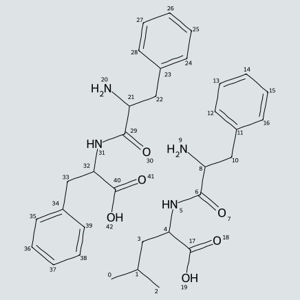 CC(C)CC(NC(=O)C(N)Cc1ccccc1)C(=O)O.NC(Cc1ccccc1)C(=O)NC(Cc1ccccc1)C(=O)O